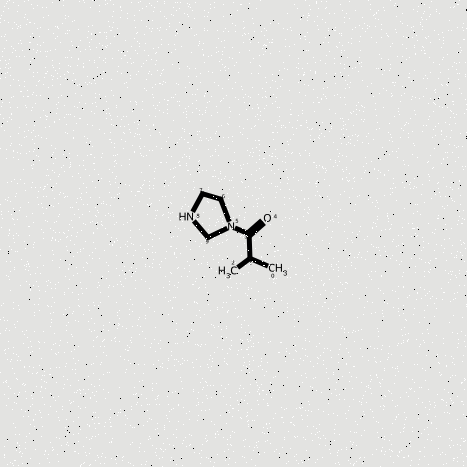 CC(C)C(=O)N1CCNC1